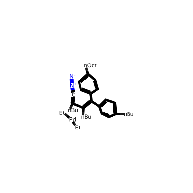 CCCCCCCCc1ccc(C(=C(CCCC)C(=C=[N+]=[N-])CCCC)c2ccc(CCCC)cc2)cc1.C[CH2][Pd][CH2]C